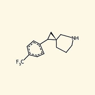 FC(F)(F)c1ccc(C2C[C@@]23CCCNC3)cc1